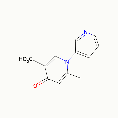 Cc1cc(=O)c(C(=O)O)cn1-c1cccnc1